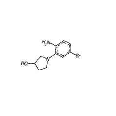 Nc1ccc(Br)cc1N1CCC(O)C1